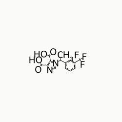 CC(c1cccc(C(F)(F)F)c1)n1cnc(C(=O)O)c1C(=O)O